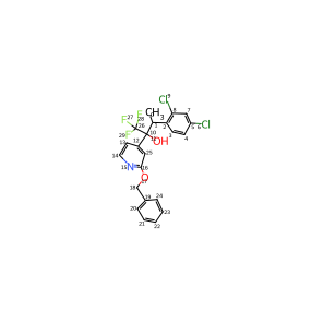 CC(c1ccc(Cl)cc1Cl)C(O)(c1ccnc(OCc2ccccc2)c1)C(F)(F)F